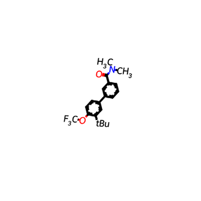 CN(C)C(=O)c1cccc(-c2ccc(OC(F)(F)F)c(C(C)(C)C)c2)c1